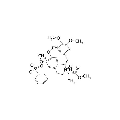 COC(=O)C(C)[N+]1(C)CCc2cc(OC)c(OC)cc2[C@H]1Cc1ccc(OC)c(OC)c1.O=S(=O)([O-])c1ccccc1